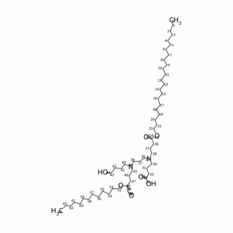 CCCCCCCCCCCCCCCCCCCCCCCOC(=O)CCCN(CCCC(=O)O)CCCN(CCCCO)CCCC(=C=O)OCCCCCCCCCCCCC